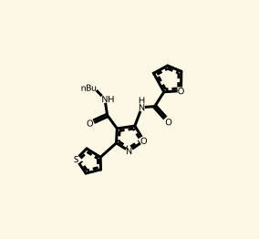 CCCCNC(=O)c1c(-c2ccsc2)noc1NC(=O)c1ccco1